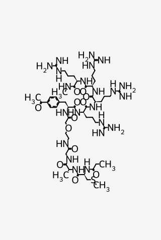 CCC(=O)N[C@@H](CSC)C(=O)N[C@@H](C)C(=O)NCC(=O)NCCOCC(=O)N[C@@H](Cc1ccc(C(C)=O)cc1)C(=O)N[C@H](CCCNC(=N)N)C(=O)N[C@H](CCCNC(=N)N)C(=O)N[C@H](CCCNC(=N)N)C(=O)N[C@H](CCCNC(=N)N)C(=O)NC